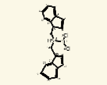 [Cl][Ti]([Cl])[SiH](CC1C=Cc2ccccc21)CC1C=Cc2ccccc21